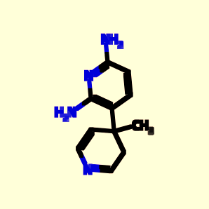 CC1(c2ccc(N)nc2N)C=CN=CC1